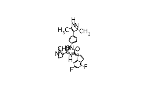 Cc1n[nH]c(C)c1-c1ccc(NC(=O)[C@@H](NC(=O)c2ccnn2C)[C@H]2C=Cc3c(F)cc(F)cc32)cc1